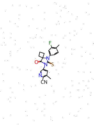 Cc1ccc(N2C(=S)N(c3cnc(C#N)c(C)c3)C(=O)C23CCC3)cc1F